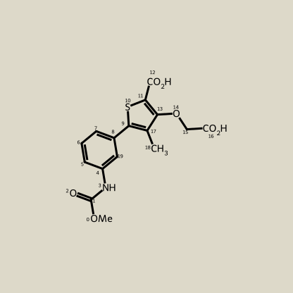 COC(=O)Nc1cccc(-c2sc(C(=O)O)c(OCC(=O)O)c2C)c1